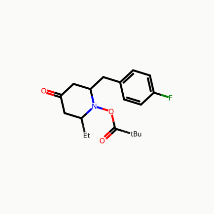 CCC1CC(=O)CC(Cc2ccc(F)cc2)N1OC(=O)C(C)(C)C